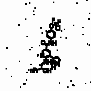 CCC[C@H](O)CNc1ncc(C(=O)Nc2ccc(OC(F)(F)Cl)cc2)cc1-c1ccn[nH]1